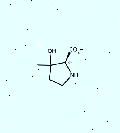 CC1(O)CCN[C@@H]1C(=O)O